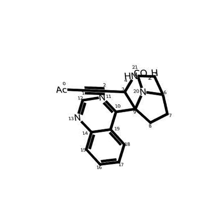 CC(=O)C#CC1NCC2CCC1(c1ncnc3ccccc13)N2C(=O)O